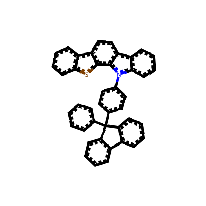 c1ccc(C2(c3ccc(-n4c5ccccc5c5ccc6c7ccccc7sc6c54)cc3)c3ccccc3-c3ccccc32)cc1